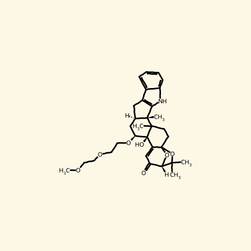 COCCOCCO[C@H]1C[C@H]2Cc3c([nH]c4ccccc34)[C@]2(C)C2(C)CCC34O[C@@H](C(=O)C=C3[C@]12O)C(C)(C)O4